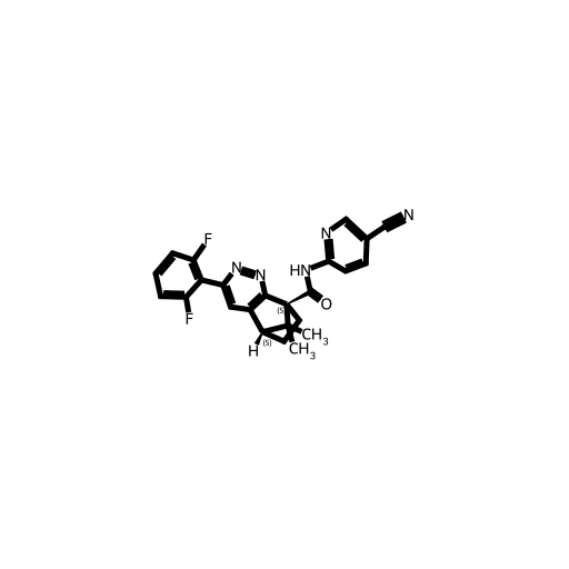 CC1(C)[C@@H]2CC[C@@]1(C(=O)Nc1ccc(C#N)cn1)c1nnc(-c3c(F)cccc3F)cc12